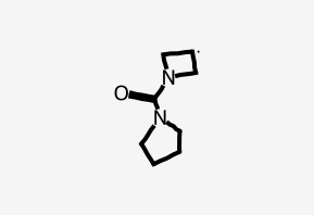 O=C(N1C[CH]C1)N1CCCC1